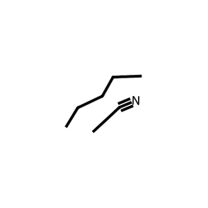 CC#N.CCCCC